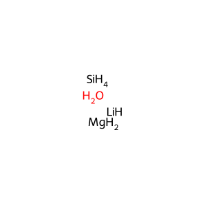 O.[LiH].[MgH2].[SiH4]